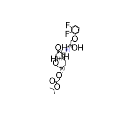 CC(C)OC(=O)COC[C@H]1CC[C@@H]2[C@@H](/C=C/[C@@H](O)COc3cccc(F)c3F)[C@H](O)C[C@@H]2OC1